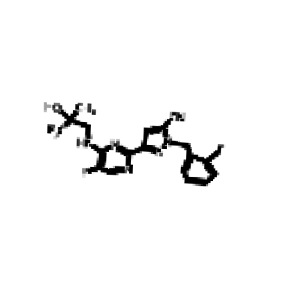 CC(O)(CNc1nc(-c2cc(C#N)n(Cc3ccccc3F)n2)ncc1F)C(F)(F)F